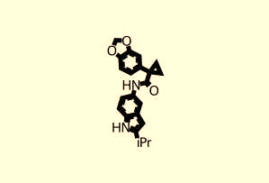 CC(C)c1cc2cc(NC(=O)C3(c4ccc5c(c4)OCO5)CC3)ccc2[nH]1